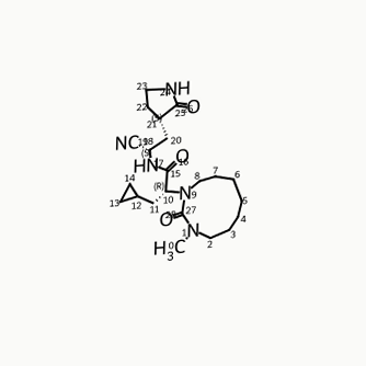 CN1CCCCCCCN([C@H](CC2CC2)C(=O)N[C@H](C#N)C[C@@H]2CCNC2=O)C1=O